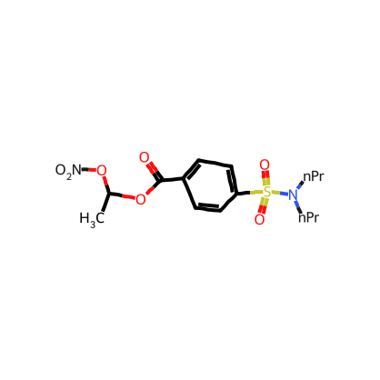 CCCN(CCC)S(=O)(=O)c1ccc(C(=O)OC(C)O[N+](=O)[O-])cc1